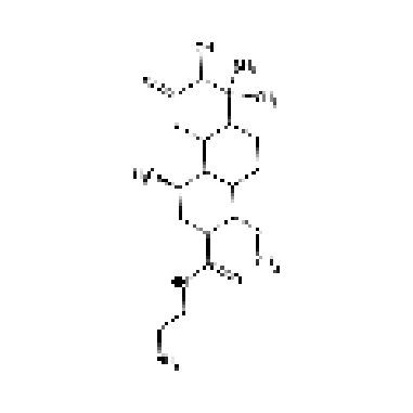 C=CC1C(C(=O)NCCN)C[C@@H](C)C2C1CCC1C2CC(=O)C(O)C1(C)C